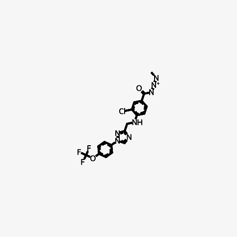 CN=[N+]=NC(=O)c1ccc(NCc2ncn(-c3ccc(OC(F)(F)F)cc3)n2)c(Cl)c1